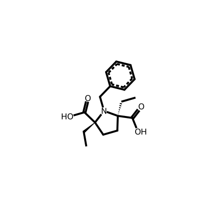 CC[C@]1(C(=O)O)CC[C@](CC)(C(=O)O)N1Cc1ccccc1